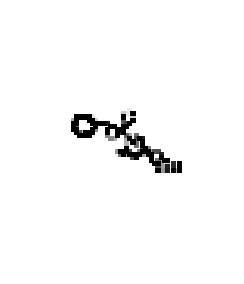 C[C@@H]1C[C@@H](OC(C)(C)C)CN1C(=O)OCc1ccccc1